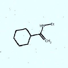 C=C(NCC)C1CCCCC1